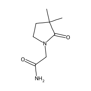 CC1(C)CCN(CC(N)=O)C1=O